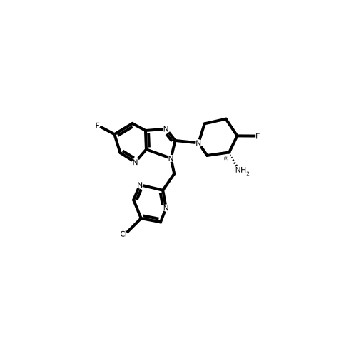 N[C@@H]1CN(c2nc3cc(F)cnc3n2Cc2ncc(Cl)cn2)CCC1F